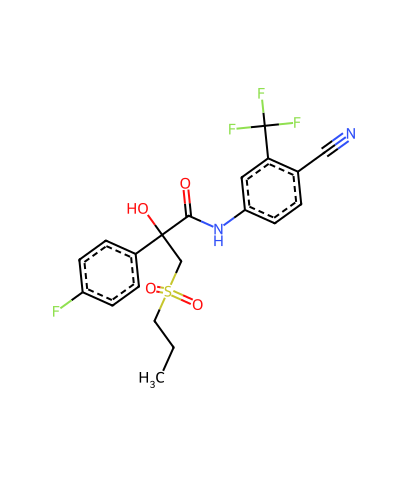 CCCS(=O)(=O)CC(O)(C(=O)Nc1ccc(C#N)c(C(F)(F)F)c1)c1ccc(F)cc1